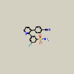 N#Cc1ccc(-c2cccnc2-c2cc(F)cc(S(N)(=O)=O)c2)cc1